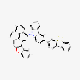 CS1(C)c2ccccc2-c2ccc(-c3ccc4c(c3)c3ccccc3n4-c3cc4c5c(cc6ccc7cccc3c7c64)oc3ccccc35)cc21